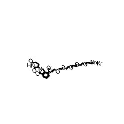 [N-]=[N+]=NCCOCCOCCOCCOCCOCC[S+]([O-])c1cccc2c1CN(C1CCC(=O)NC1=O)C2=O